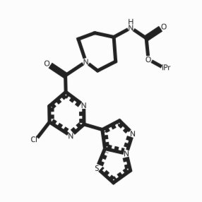 CC(C)OC(=O)NC1CCN(C(=O)c2cc(Cl)nc(-c3cnn4ccsc34)n2)CC1